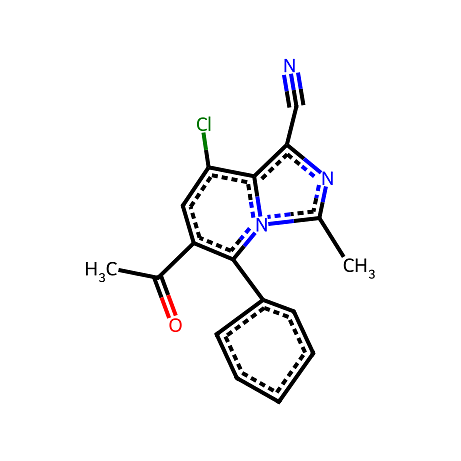 CC(=O)c1cc(Cl)c2c(C#N)nc(C)n2c1-c1ccccc1